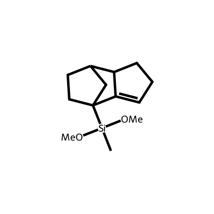 CO[Si](C)(OC)C12CCC(C1)C1CCC=C12